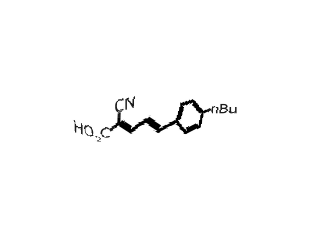 CCCCc1ccc(/C=C/C=C(\C#N)C(=O)O)cc1